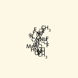 CNc1c(-n2c(C(Cc3cc(F)cc(F)c3)NC(=O)Cn3nc(C(F)F)c4c3C(F)(F)C(C)C4)nc3cc(N4CCCC4)ccc3c2=O)ccc(Cl)c1C(=N)N[S+](C)[O-]